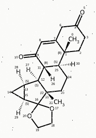 C[C@]12CCC(=O)CC1=CC(=O)[C@H]1[C@@H]3[C@@H]4C[C@@H]4C4(OCCO4)[C@@]3(C)CC[C@@H]12